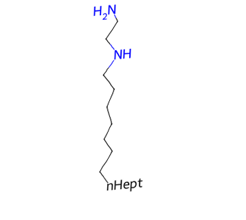 CCCCCCCCCCCCCCNCCN